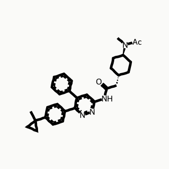 CC(=O)N(C)[C@H]1CC[C@H](CC(=O)Nc2cc(-c3ccccc3)c(-c3ccc(C4(C)CC4)cc3)nn2)CC1